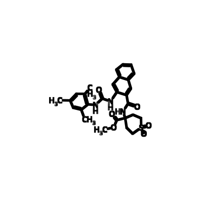 COC(=O)C1(NC(=O)c2cc3ccccc3cc2NC(=O)Nc2c(C)cc(C)cc2C)CCS(=O)(=O)CC1